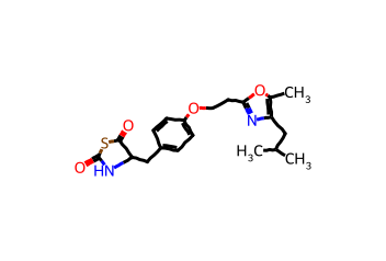 Cc1oc(CCOc2ccc(CC3NC(=O)SC3=O)cc2)nc1CC(C)C